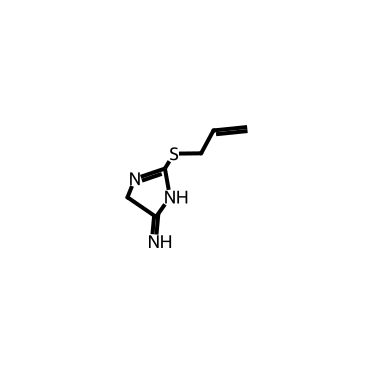 C=CCSC1=NCC(=N)N1